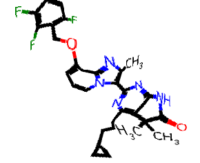 Cc1nc2c(OCc3c(F)ccc(F)c3F)cccn2c1-c1nc(CCC2CC2)c2c(n1)NC(=O)C2(C)C